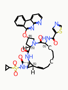 O=C(N[C@H]1CCCCCC=C[C@@H]2C[C@@]2(C(=O)NS(=O)(=O)C2CC2)NC(=O)[C@@H]2C[C@@H](Oc3nc4ncccc4c4ccccc34)CN2C1=O)c1cncs1